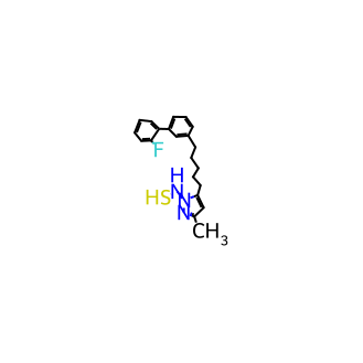 Cc1cc(CCCCCc2cccc(-c3ccccc3F)c2)n(NS)n1